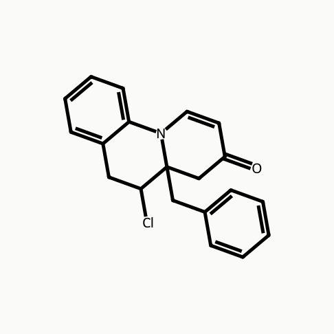 O=C1C=CN2c3ccccc3CC(Cl)C2(Cc2ccccc2)C1